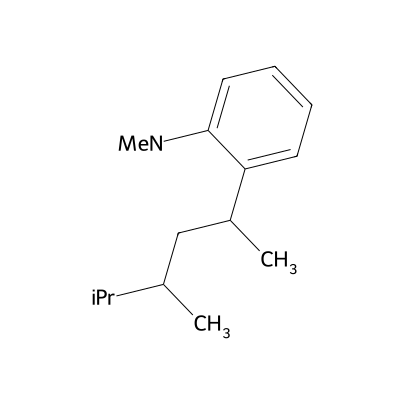 CNc1ccccc1C(C)CC(C)C(C)C